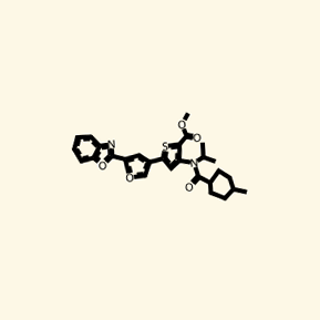 COC(=O)c1sc(-c2coc(-c3nc4ccccc4o3)c2)cc1N(C(=O)C1CCC(C)CC1)C(C)C